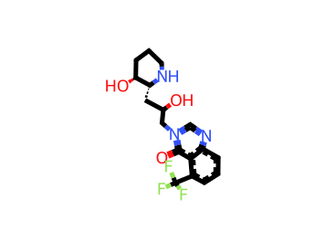 O=c1c2c(C(F)(F)F)cccc2ncn1CC(O)C[C@H]1NCCC[C@@H]1O